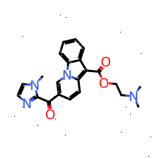 CN(C)CCOC(=O)c1c2ccccc2n2cc(C(=O)c3nccn3C)ccc12